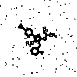 Cc1c(Cc2ccccc2F)c(OC(C)C)nn1-c1ccc(C2CC2)cn1